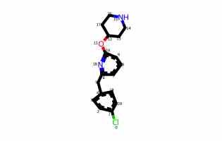 Clc1ccc(Cc2cccc(OC3CCNCC3)n2)cc1